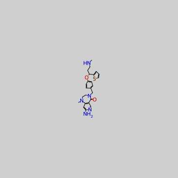 CNCCC(Oc1ccc(CN2CCN(C)c3cc(N)ncc3C2=O)cc1)c1cccs1